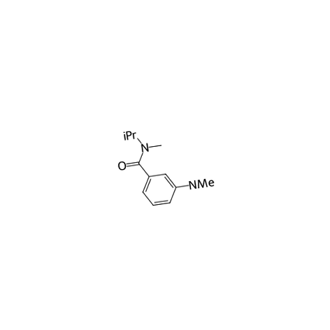 CNc1cccc(C(=O)N(C)C(C)C)c1